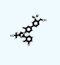 Cc1cc(-c2ccc(CO)c([S+](C)[O-])c2)ccc1-n1cc(C(C)(C)O)nc1-c1cccc(Cl)c1C